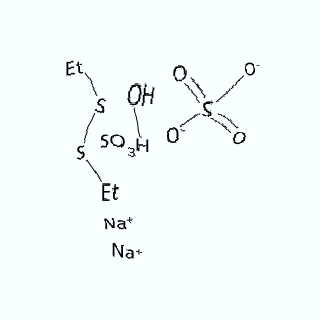 CCSSCC.O=S(=O)(O)O.O=S(=O)([O-])[O-].[Na+].[Na+]